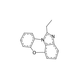 CCc1nc2cccc3c2n1-c1ccccc1O3